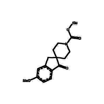 COc1ccc2c(c1)CC1(CCN(C(=O)OC(C)(C)C)CC1)C2=O